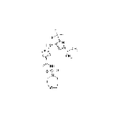 CC(C)n1cc(Nc2nc(C(=O)NS(=O)(=O)N3CCCOCC3)co2)c(C(F)(F)F)n1